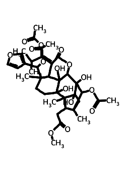 COC(=O)CC1C2(C)CC3(O)C(O)(C2OC(C)=O)C2OC(=O)/C(=C(\OC(C)=O)C(C)C)C4C(C)(C(OC(C)=O)c5ccoc5)CCC(O)(C42O)C13C